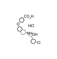 Cl.O=C(O)c1ccc(Oc2ccc3c(c2)C[C@@H](NC[C@H](O)c2cccc(Cl)c2)CC3)cc1